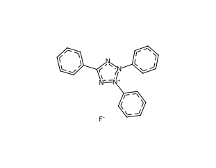 [F-].c1ccc(-c2nn(-c3ccccc3)[n+](-c3ccccc3)n2)cc1